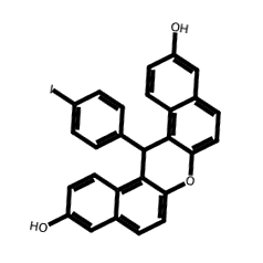 Oc1ccc2c3c(ccc2c1)Oc1ccc2cc(O)ccc2c1C3c1ccc(I)cc1